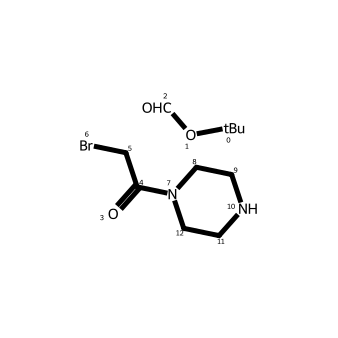 CC(C)(C)OC=O.O=C(CBr)N1CCNCC1